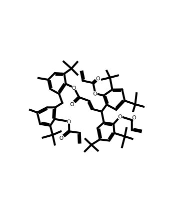 C=CC(=O)Oc1c(Cc2cc(C)cc(C(C)(C)C)c2OC(=O)C=CC(c2cc(C(C)(C)C)cc(C(C)(C)C)c2OC(=O)C=C)c2cc(C(C)(C)C)cc(C(C)(C)C)c2OC(=O)C=C)cc(C)cc1C(C)(C)C